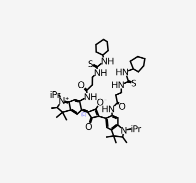 CC(C)N1c2cc(NC(=O)CCNC(=S)NC3CCCCC3)c(C3=C([O-])/C(=c4/cc5c(cc4NC(=O)CCNC(=S)NC4CCCCC4)=[N+](C(C)C)C(C)C5(C)C)C3=O)cc2C(C)(C)C1C